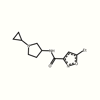 CCc1cc(C(=O)NC2CCN(C3CC3)C2)no1